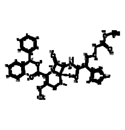 CCSC1=C(C(=O)OC(c2ccccc2)c2ccccc2)N2C(=O)C(NC(=O)C(=NOCC(=O)OC(C)(C)C)c3cscn3)[C@@H]2SC1